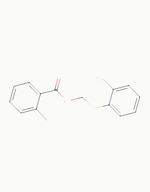 Cc1ccccc1C(=O)OCSc1ccccc1Cl